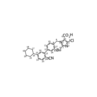 CCCCc1nc(Cl)c(C(=O)O)n1Cc1ccc(-c2cc(C3CCCCC3)ccc2C#N)cc1